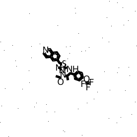 CC(=O)NC(C)C(Nc1nnc(-c2ccc3cnccc3c2)s1)c1ccc(OC(F)(F)F)cc1